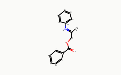 CCC(COC(=O)c1ccccc1)=Nc1ccccc1